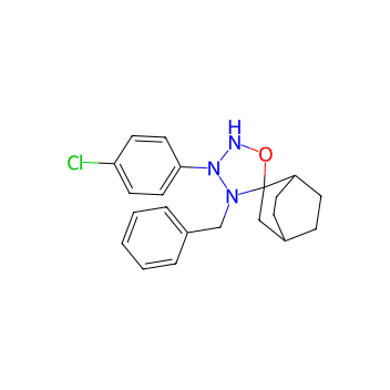 Clc1ccc(N2NOC3(CC4CCC3CC4)N2Cc2ccccc2)cc1